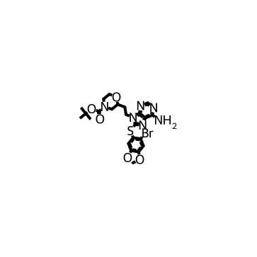 CC(C)(C)OC(=O)N1CCOC(CCn2c(Sc3cc4c(cc3Br)OCO4)nc3c(N)ncnc32)C1